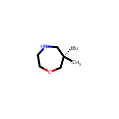 CC(C)(C)[C@@]1(C)CNCCOC1